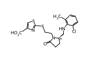 Cc1cccc(Cl)c1NC[C@H]1CCC(=O)N1CCSc1nc(C(=O)O)cs1